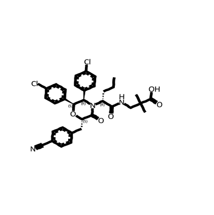 CCC[C@H](C(=O)NCC(C)(C)C(=O)O)N1C(=O)[C@H](Cc2ccc(C#N)cc2)O[C@@H](c2ccc(Cl)cc2)[C@H]1c1ccc(Cl)cc1